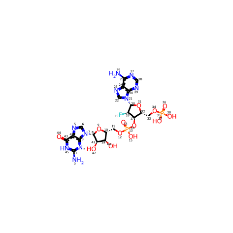 Nc1nc2c(ncn2[C@@H]2O[C@H](COP(=O)(O)O[C@H]3[C@@H](F)[C@H](n4cnc5c(N)ncnc54)O[C@@H]3COP(=O)(O)O)[C@@H](O)[C@H]2O)c(=O)[nH]1